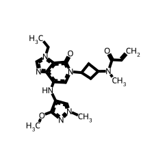 C=CC(=O)N(C)C1CC(n2cc(Nc3cn(C)nc3OC)c3ncn(CC)c3c2=O)C1